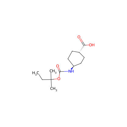 CCC(C)(C)OC(=O)N[C@H]1CC[C@H](C(=O)O)CC1